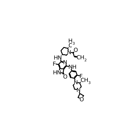 C=CC(=O)N1C[C@H](Nc2nc(Nc3ccc(N4CCN(C5COC5)C[C@@H]4C)c(F)c3)c3c(c2F)NC3=O)CC[C@@H]1C